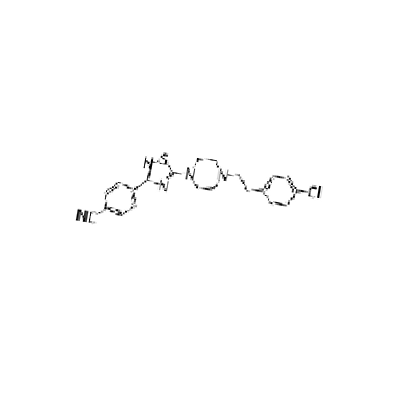 N#Cc1ccc(-c2nsc(N3CCN(CCc4ccc(Cl)cc4)CC3)n2)cc1